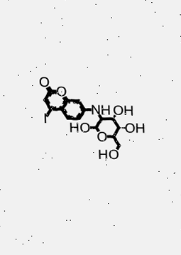 O=c1cc(I)c2ccc(NC3C(O)OC(CO)[C@@H](O)[C@@H]3O)cc2o1